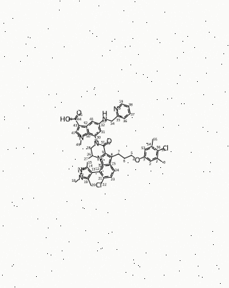 Cc1cc(OCCCc2c3n(c4c(-c5c(C)nn(C)c5C)c(Cl)ccc24)C(C)CN(c2cc(NCc4ccccn4)cc4c(C(=O)O)cn(C)c24)C3=O)cc(C)c1Cl